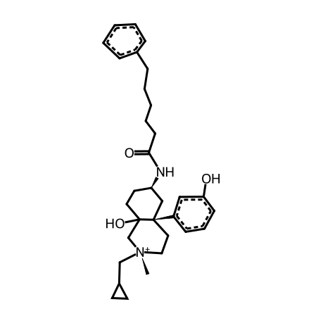 C[N@+]1(CC2CC2)CC[C@@]2(c3cccc(O)c3)C[C@H](NC(=O)CCCCCc3ccccc3)CCC2(O)C1